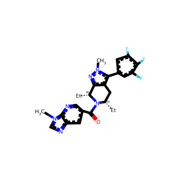 CC[C@H]1Cc2c(nn(C)c2-c2cc(F)c(F)c(F)c2)[C@@H](CC)N1C(=O)c1cnc2c(c1)ncn2C